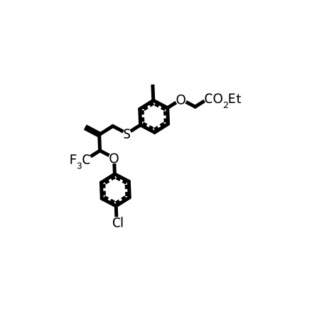 C=C(CSc1ccc(OCC(=O)OCC)c(C)c1)C(Oc1ccc(Cl)cc1)C(F)(F)F